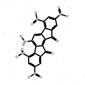 O=c1c2cc([N+](=O)[O-])cc([N+](=O)[O-])c2c2cc([N+](=O)[O-])c3c4c([N+](=O)[O-])cc([N+](=O)[O-])cc4c(=O)c3c12